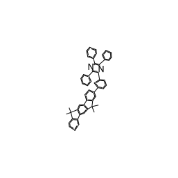 CC1(C)c2ccccc2-c2cc3c(cc21)-c1ccc(-c2cccc(-c4nc(-c5ccccc5)c(-c5ccccc5)nc4-c4ccccc4)c2)cc1C3(C)C